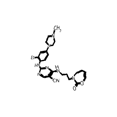 CCc1cc(N2CCN(C)CC2)ccc1Nc1ncc(C#N)c(NCCCN2C=CC=COC2=O)n1